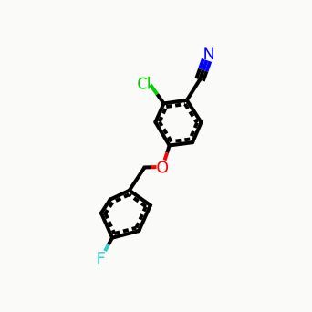 N#Cc1ccc(OCc2ccc(F)cc2)cc1Cl